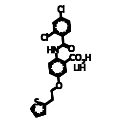 O=C(Nc1ccc(OCCc2cccs2)cc1C(=O)O)c1ccc(Cl)cc1Cl.[LiH]